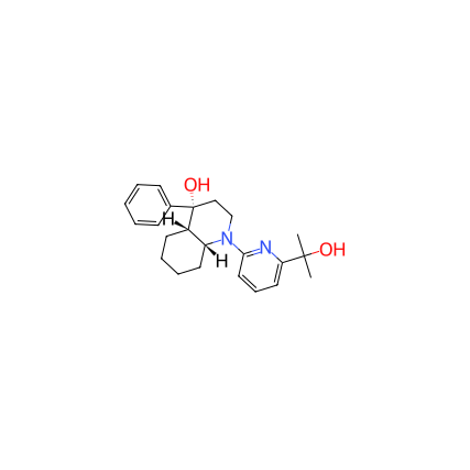 CC(C)(O)c1cccc(N2CC[C@](O)(c3ccccc3)[C@H]3CCCC[C@H]32)n1